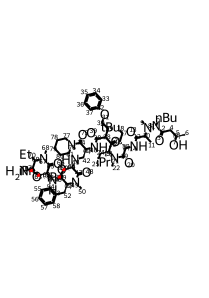 CCCCN(C(=O)C[C@@H](C)O)N(C)C(C)C(=O)N[C@@H](CCC(C)(C)C)C(=O)N(C)[C@@H](CC(C)C)C(=O)C(CCOc1ccccc1)C(=O)N[C@@H](CN[C@H](CC(C)C)C(=O)N(C)[C@@H](Cc1ccccc1)C(=O)N[C@@H](CC(C)C)C(=O)N(C)C(CC)C(N)=O)C(=O)N1CCCCC1